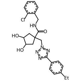 CCc1ccc(-c2nnn(CC3(C(=O)NCc4ccccc4Cl)CC(O)C(O)C3)n2)cc1